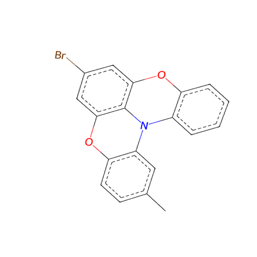 Cc1ccc2c(c1)N1c3ccccc3Oc3cc(Br)cc(c31)O2